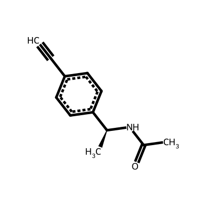 C#Cc1ccc([C@H](C)NC(C)=O)cc1